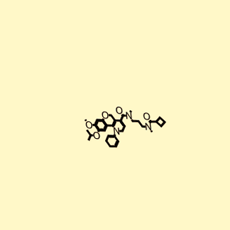 COc1cc2c(cc1OC(C)C)C1=C(CO2)C(C(=O)N(C)CCCN(C)C(=O)C2CCC2)=CCN1C1=CCCC=C1